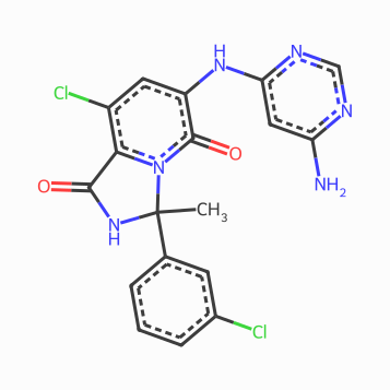 CC1(c2cccc(Cl)c2)NC(=O)c2c(Cl)cc(Nc3cc(N)ncn3)c(=O)n21